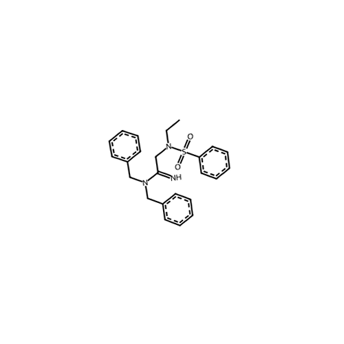 CCN(CC(=N)N(Cc1ccccc1)Cc1ccccc1)S(=O)(=O)c1ccccc1